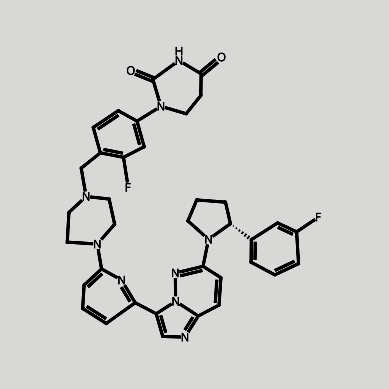 O=C1CCN(c2ccc(CN3CCN(c4cccc(-c5cnc6ccc(N7CCC[C@@H]7c7cccc(F)c7)nn56)n4)CC3)c(F)c2)C(=O)N1